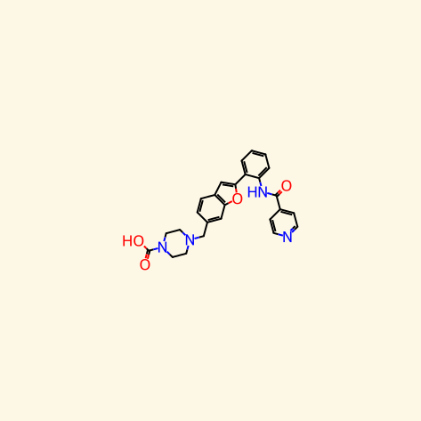 O=C(Nc1ccccc1-c1cc2ccc(CN3CCN(C(=O)O)CC3)cc2o1)c1ccncc1